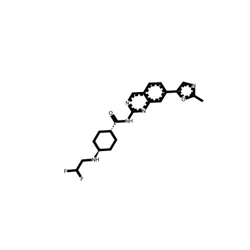 Cc1ncc(-c2ccc3cnc(NC(=O)[C@H]4CC[C@H](NCC(F)F)CC4)nc3c2)o1